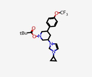 CC(C)(C)C(=O)ON1CC(c2ccc(OC(F)(F)F)cc2)CC(N2C=CN(C3CC3)C2)C1